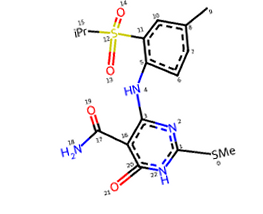 CSc1nc(Nc2ccc(C)cc2S(=O)(=O)C(C)C)c(C(N)=O)c(=O)[nH]1